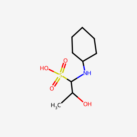 CC(O)C(NC1CCCCC1)S(=O)(=O)O